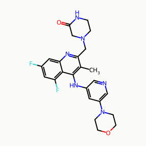 Cc1c(CN2CCNC(=O)C2)nc2cc(F)cc(F)c2c1Nc1cncc(N2CCOCC2)c1